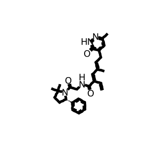 C=C/C(=C\C(C)=C\Cc1cc(C)n[nH]c1=O)C(=O)NCC(=O)N1[C@H](c2ccccc2)CCC1(C)C